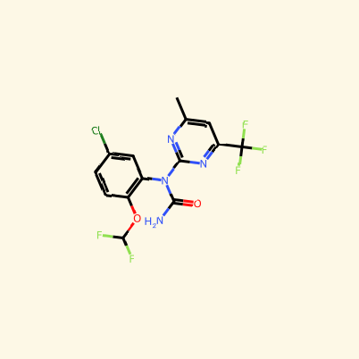 Cc1cc(C(F)(F)F)nc(N(C(N)=O)c2cc(Cl)ccc2OC(F)F)n1